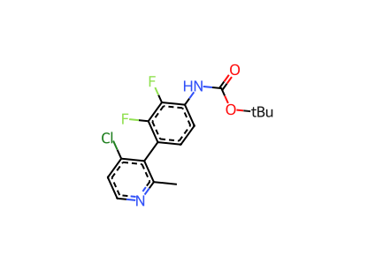 Cc1nccc(Cl)c1-c1ccc(NC(=O)OC(C)(C)C)c(F)c1F